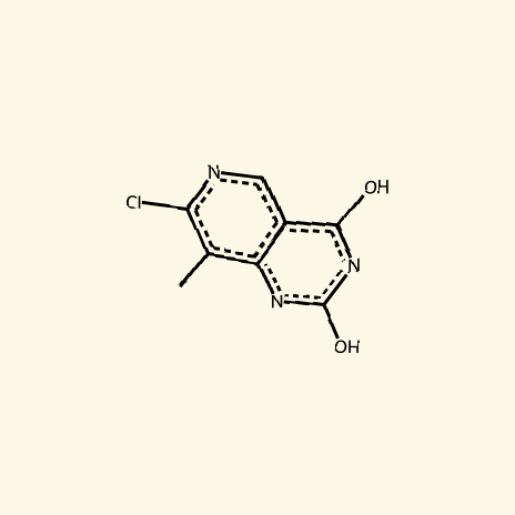 Cc1c(Cl)ncc2c(O)nc(O)nc12